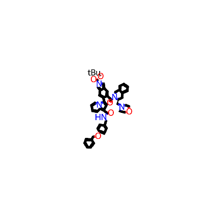 CC(C)(C)OC(=O)n1cc2cc(C(=O)N3Cc4ccccc4C[C@H]3CN3CCOCC3)c(-c3cc(C(=O)NCc4ccc(OCc5ccccc5)cc4)c4ccccn34)cc2c1